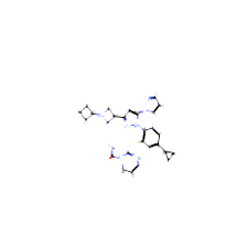 Fc1cc(C2CC2)ccc1-n1nc(C2CN(C3CCC3)C2)cc1-n1cccn1.NC(=O)N1C=NC=CC1